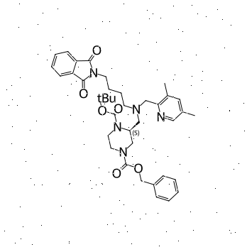 Cc1cnc(CN(CCCCN2C(=O)c3ccccc3C2=O)C[C@H]2CN(C(=O)OCc3ccccc3)CCN2C(=O)OC(C)(C)C)c(C)c1